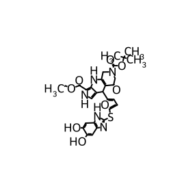 CCOC(=O)c1[nH]cc2c1NC1=C(C(=O)CN(C(=O)OC(C)(C)C)C1)C2c1ccc(Sc2nc3cc(O)c(O)cc3[nH]2)o1